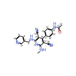 CNc1nc(NCc2cccnc2)c(C#N)c(-c2ccc(NC(C)=O)cc2)c1C#N